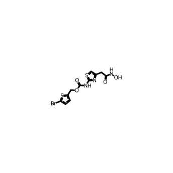 O=C(Cc1csc(NC(=O)OCc2ccc(Br)s2)n1)NO